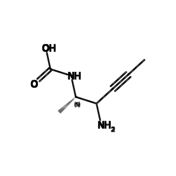 CC#CC(N)[C@H](C)NC(=O)O